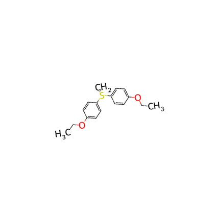 C=S(c1ccc(OCC)cc1)c1ccc(OCC)cc1